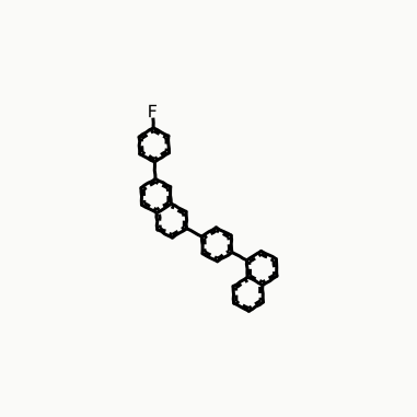 Fc1ccc(-c2ccc3ccc(-c4ccc(-c5cccc6ccccc56)cc4)cc3c2)cc1